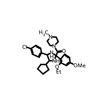 CCOc1cc(OC)ccc1C1(C(=O)N2CCN(C)CC2)NC(c2ccc(Cl)cc2)C(C2CCCC2)N1